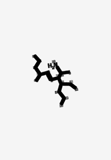 CCCC(C)C=CC(C(C)N)C(CC)CCC